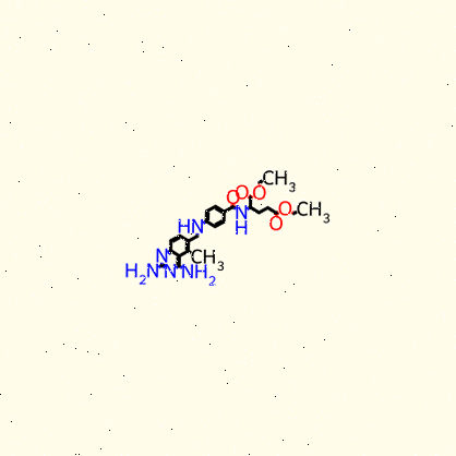 CCOC(=O)CCC(NC(=O)c1ccc(NCc2ccc3nc(N)nc(N)c3c2C)cc1)C(=O)OCC